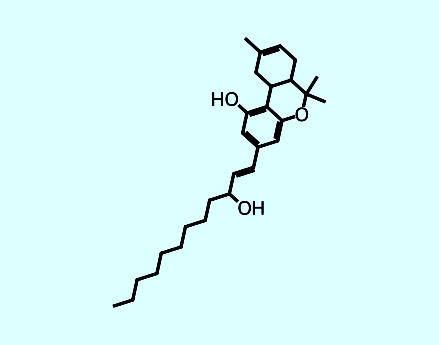 CCCCCCCCCC(O)C=Cc1cc(O)c2c(c1)OC(C)(C)C1CC=C(C)CC21